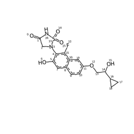 O=C1CN(c2c(O)cc3ccc(OCC(O)C4CC4)cc3c2F)S(=O)(=O)N1